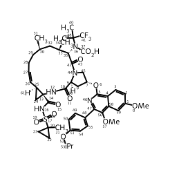 COc1ccc2c(O[C@@H]3C[C@H]4C(=O)N[C@]5(C(=O)NS(=O)(=O)C6(C)CC6)C[C@H]5/C=C\CC[C@@H](C)C[C@@H](C)[C@H](N(C(=O)O)C(C)(C)C(F)(F)F)C(=O)N4C3)nc(-c3ccc(OC(C)C)cc3)c(OC)c2c1